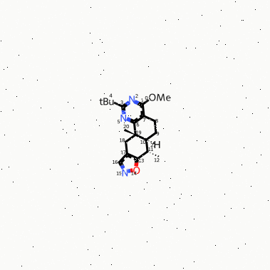 COc1nc(C(C)(C)C)nc2c1CC[C@H]1[C@H](C)c3oncc3C[C@]21C